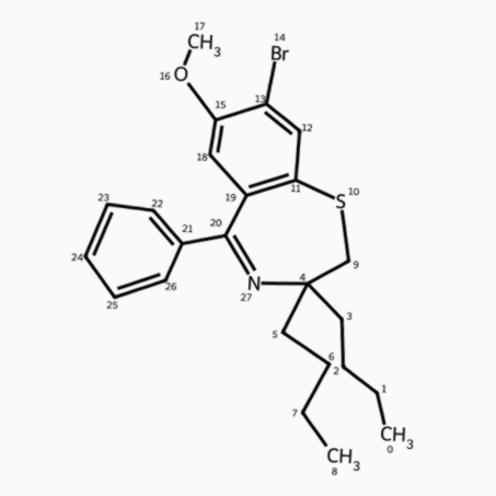 CCCCC1(CCCC)CSc2cc(Br)c(OC)cc2C(c2ccccc2)=N1